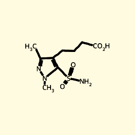 Cc1nn(C)c(S(N)(=O)=O)c1CCCC(=O)O